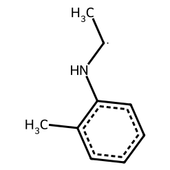 C[CH]Nc1ccccc1C